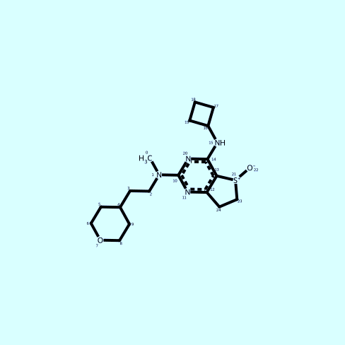 CN(CCC1CCOCC1)c1nc2c(c(NC3CCC3)n1)[S+]([O-])CC2